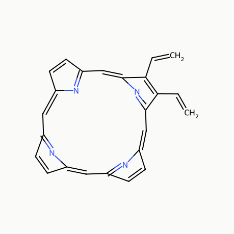 C=CC1=C(C=C)C2=NC1=CC1=NC(=CC3=NC(=CC4=NC(=C2)C=C4)C=C3)C=C1